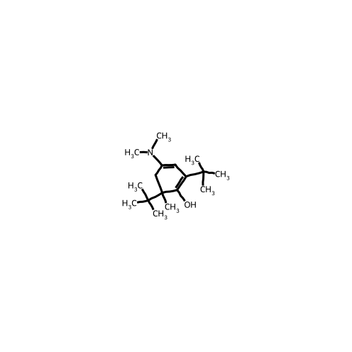 CN(C)C1=CC(C(C)(C)C)=C(O)C(C)(C(C)(C)C)C1